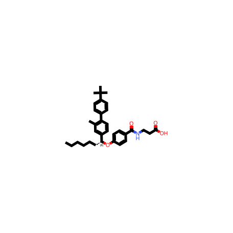 CCCCCC[C@@H](Oc1ccc(C(=O)NCCC(=O)O)cc1)c1ccc(-c2ccc(C(C)(C)C)cc2)c(C)c1